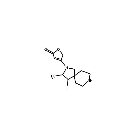 CC1C(I)C2(CCNCC2)CN1C1=CC(=O)OC1